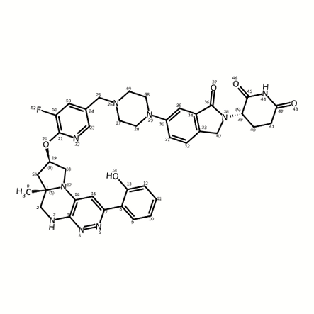 C[C@]12CNc3nnc(-c4ccccc4O)cc3N1C[C@H](Oc1ncc(CN3CCN(c4ccc5c(c4)C(=O)N([C@H]4CCC(=O)NC4=O)C5)CC3)cc1F)C2